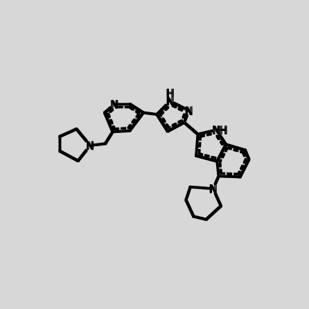 c1cc(N2CCCCC2)c2cc(-c3cc(-c4cncc(CN5CCCC5)c4)[nH]n3)[nH]c2c1